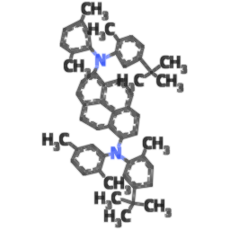 Cc1ccc(C)c(N(c2cc(C(C)(C)C)ccc2C)c2ccc3ccc4c(N(c5cc(C)ccc5C)c5cc(C(C)(C)C)ccc5C)ccc5ccc2c3c54)c1